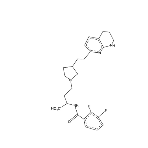 O=C(NC(CCN1CCC(CCc2ccc3c(n2)NCCC3)C1)C(=O)O)c1cccc(F)c1F